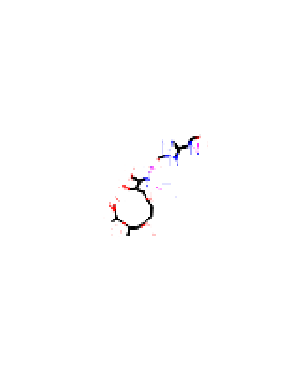 CO[C@@]1(C)CC(C)C(=O)C(C)C(=O)OCC2OC(=O)C(/C(N)=N/OCc3ncc(-c4ccon4)cn3)C2[C@@H](C)C(=O)[C@H](C)C1